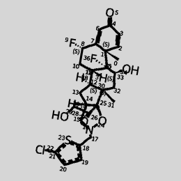 C[C@]12C=CC(=O)C=C1[C@@H](F)C[C@H]1[C@@H]3C[C@H]4CN(Cc5ccc(Cl)s5)O[C@@]4(C(=O)CO)[C@@]3(C)C[C@H](O)[C@@]12F